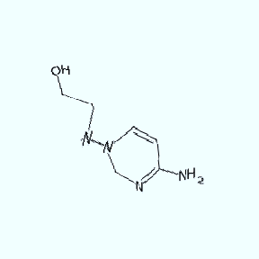 NC1=NCN([N]CCO)C=C1